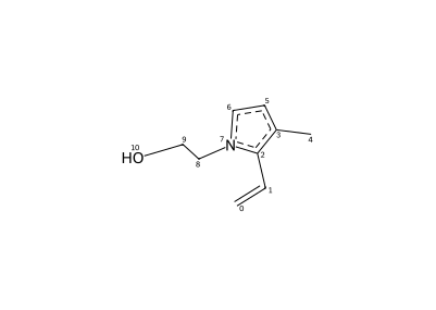 C=Cc1c(C)ccn1CCO